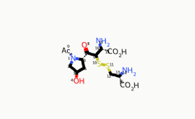 CC(=O)N1CC(O)C[C@H]1C(=O)C(SSC[C@H](N)C(=O)O)[C@H](N)C(=O)O